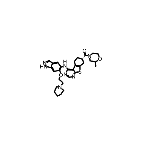 CC1CN(C(=O)[C@H]2CCc3c(sc4ncnc(Nc5cc6cn[nH]c6cc5OCCN5CCCCC5)c34)C2)CCO1